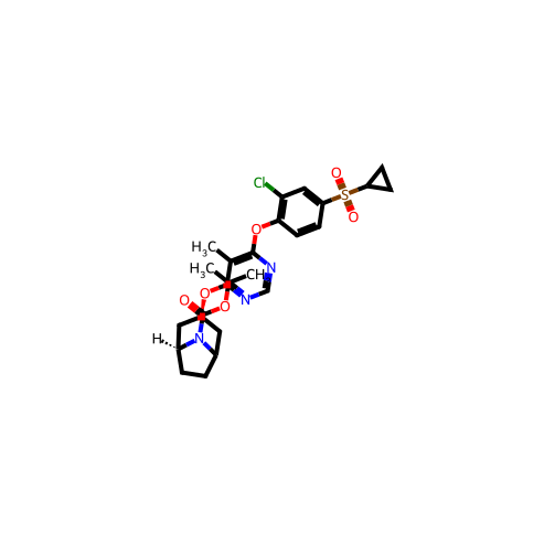 Cc1c(Oc2ccc(S(=O)(=O)C3CC3)cc2Cl)ncnc1O[C@H]1CC2CC[C@@H](C1)N2C(=O)OC(C)C